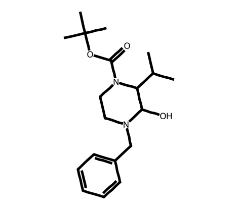 CC(C)C1C(O)N(Cc2ccccc2)CCN1C(=O)OC(C)(C)C